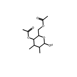 CC(=O)OCC1OC(O)C(C)C(C)C1OC(C)=O